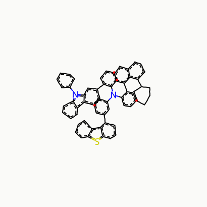 c1ccc(-n2c3ccccc3c3ccc(-c4ccccc4N(c4cccc(-c5cccc6sc7ccccc7c56)c4)c4ccccc4-c4cccc5cccc(C6CCCCC6)c45)cc32)cc1